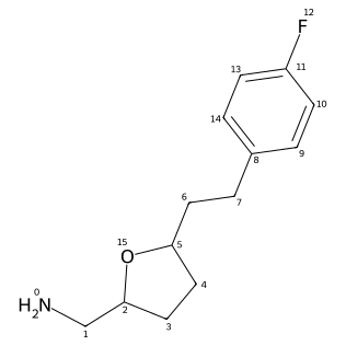 NCC1CCC(CCc2ccc(F)cc2)O1